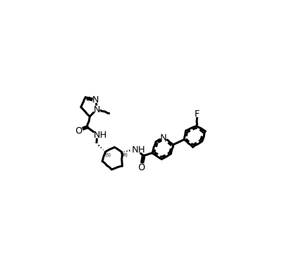 CN1N=CCC1C(=O)NC[C@H]1CCC[C@@H](NC(=O)c2ccc(-c3cccc(F)c3)nc2)C1